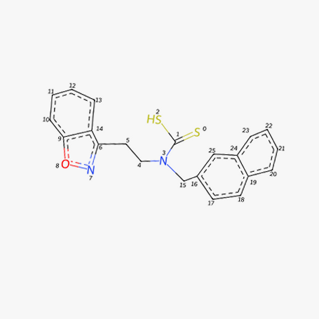 S=C(S)N(CCc1noc2ccccc12)Cc1ccc2ccccc2c1